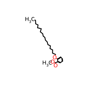 CCCCCCCCCCCCCCCCCCOc1ccccc1C(=O)OC